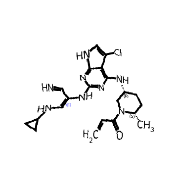 C=CC(=O)N1C[C@H](Nc2nc(N/C(C=N)=C/NC3CC3)nc3[nH]cc(Cl)c23)CC[C@@H]1C